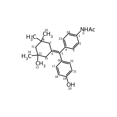 CC(=O)Nc1ccc(C(=C2CC(C)(C)CC(C)(C)C2)c2ccc(O)cc2)cc1